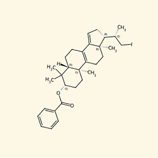 C[C@H](CI)[C@H]1CC=C2C3=C(CC[C@@]21C)[C@@]1(C)CC[C@H](OC(=O)c2ccccc2)C(C)(C)[C@@H]1CC3